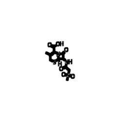 CC1=C(C(=O)O)N2C(=O)C(NC(=O)CS(C)(=O)=O)[C@@H]2SC1